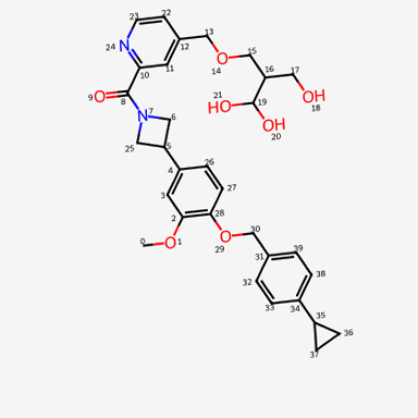 COc1cc(C2CN(C(=O)c3cc(COCC(CO)C(O)O)ccn3)C2)ccc1OCc1ccc(C2CC2)cc1